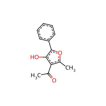 CC(=O)c1c(C)oc(-c2ccccc2)c1O